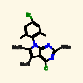 CNc1nc(Cl)c2c(NC)c(NC)n(-c3c(C)cc(Br)cc3C)c2n1